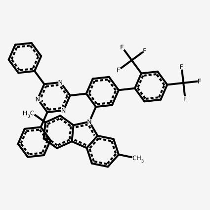 Cc1ccc2c3ccc(C)cc3n(-c3cc(-c4ccc(C(F)(F)F)cc4C(F)(F)F)ccc3-c3nc(-c4ccccc4)nc(-c4ccccc4)n3)c2c1